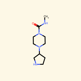 CNC(=O)N1CCN(C2CCNC2)CC1